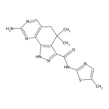 Cc1cnc(NC(=O)c2n[nH]c3c2C(C)(C)Cc2cnc(N)nc2-3)s1